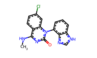 CNc1nc(=O)n(-c2cccc3[nH]cnc23)c2cc(Cl)ccc12